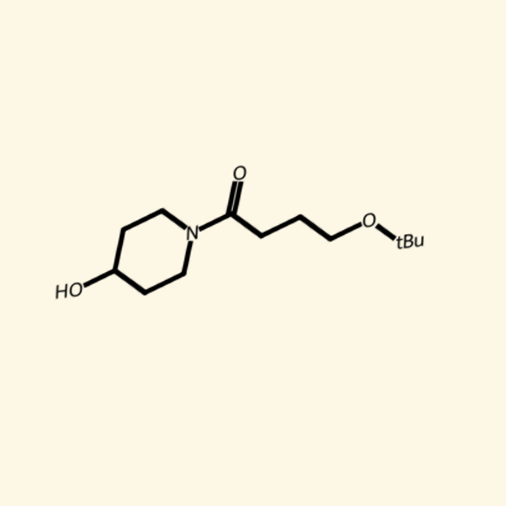 CC(C)(C)OCCCC(=O)N1CCC(O)CC1